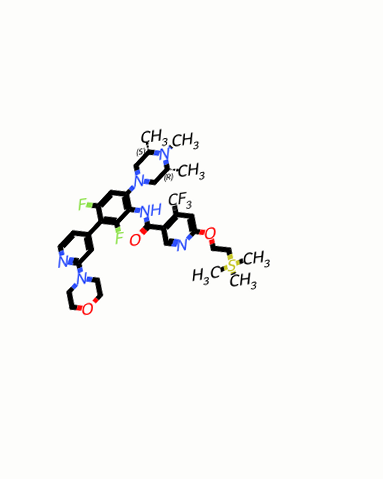 C[C@@H]1CN(c2cc(F)c(-c3ccnc(N4CCOCC4)c3)c(F)c2NC(=O)c2cnc(OCCS(C)(C)C)cc2C(F)(F)F)C[C@H](C)N1C